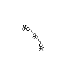 O=C(OCCCCc1ccc([N+](=O)[O-])cc1)OCCCCc1ccc([N+](=O)[O-])cc1